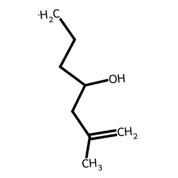 [CH2]CCC(O)CC(=C)C